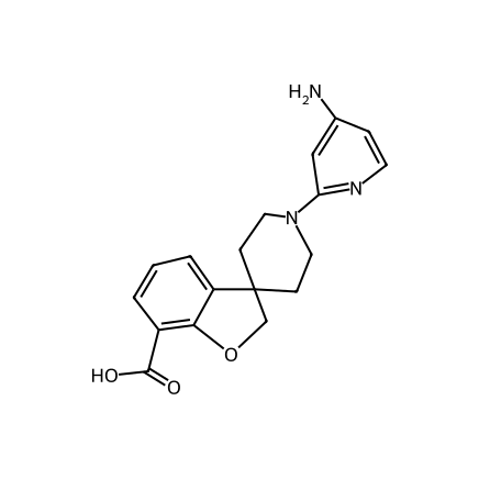 Nc1ccnc(N2CCC3(CC2)COc2c(C(=O)O)cccc23)c1